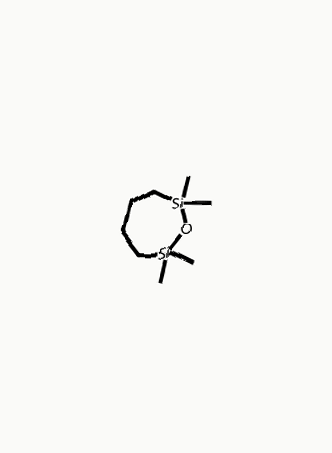 C[Si]1(C)CCCC[Si](C)(C)O1